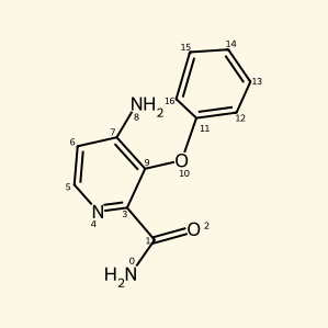 NC(=O)c1nccc(N)c1Oc1ccccc1